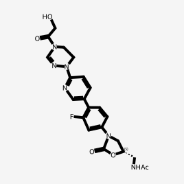 CC(=O)NC[C@H]1CN(c2ccc(-c3ccc(N4CCN(C(=O)CO)C=N4)nc3)c(F)c2)C(=O)O1